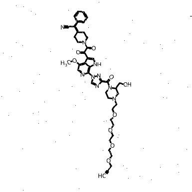 C#CCOCCOCCOCCOCCN1CCN(C(=O)c2ncn(-c3ncc(OC)c4c(C(=O)C(=O)N5CCC(=C(C#N)c6ccccc6)CC5)c[nH]c34)n2)C(CO)C1